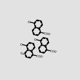 O=C([O-])c1cccc2c(Cl)cccc12.O=C([O-])c1cccc2c(Cl)cccc12.O=C([O-])c1cccc2c(Cl)cccc12.[Ga+3]